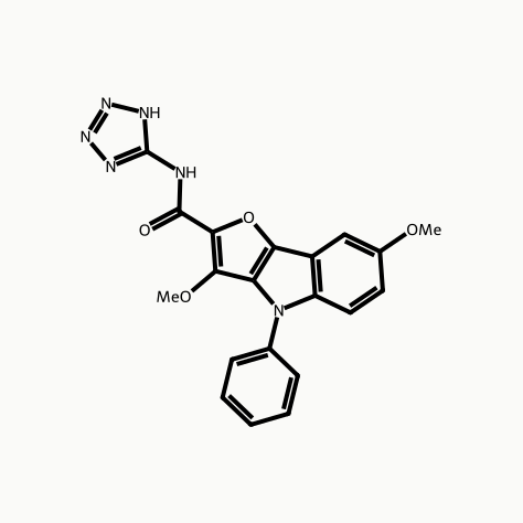 COc1ccc2c(c1)c1oc(C(=O)Nc3nnn[nH]3)c(OC)c1n2-c1ccccc1